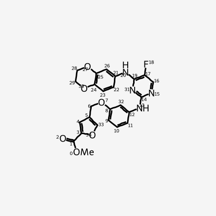 COC(=O)c1cc(COc2cccc(Nc3ncc(F)c(Nc4ccc5c(c4)OCCO5)n3)c2)co1